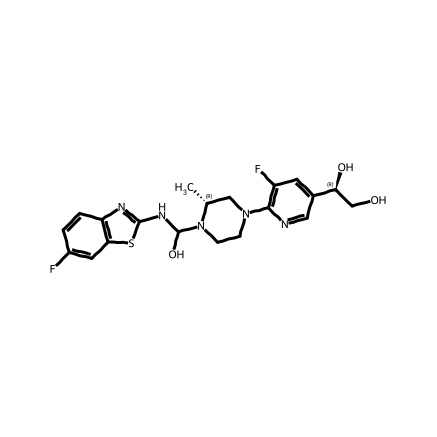 C[C@@H]1CN(c2ncc([C@@H](O)CO)cc2F)CCN1C(O)Nc1nc2ccc(F)cc2s1